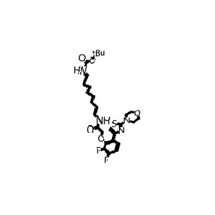 CC(C)(C)OC(=O)NCCCCCCCCNC(=O)COc1c(-c2csc(N3CCOCC3)n2)ccc(F)c1F